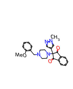 COc1ccccc1CN1CCN(C2(c3cnn(C)c3)C(=O)c3ccccc3C2=O)CC1